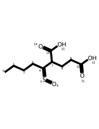 CCCCC(=S=O)C(CCC(=O)O)C(=O)O